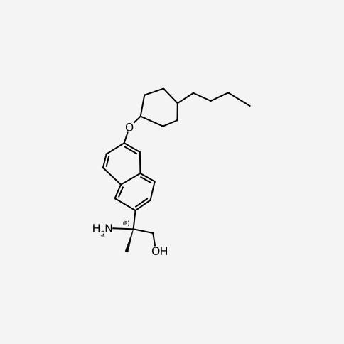 CCCCC1CCC(Oc2ccc3cc([C@@](C)(N)CO)ccc3c2)CC1